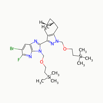 C[C@@]12Cc3c(c(-c4nc5cc(Br)c(F)nc5n4COCC[Si](C)(C)C)nn3COCC[Si](C)(C)C)C[C@@H]1C2